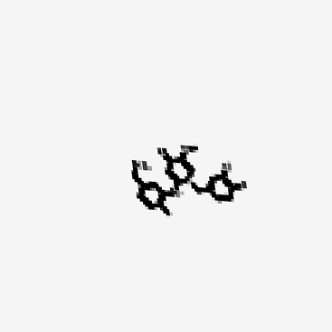 COc1cn(Cc2ccc(F)c(Cl)c2)c(Nc2cc(CN)ccc2C)cc1=O